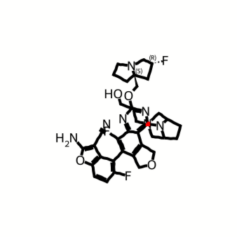 N#Cc1c(N)oc2ccc(F)c(-c3c4c(c5c(N6C7CCC6CN(CCCO)C7)nc(OC[C@@]67CCCN6C[C@H](F)C7)nc5c3F)COC4)c12